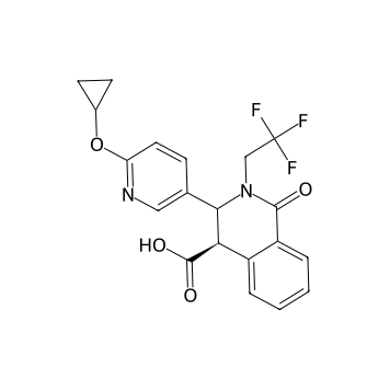 O=C(O)[C@@H]1c2ccccc2C(=O)N(CC(F)(F)F)C1c1ccc(OC2CC2)nc1